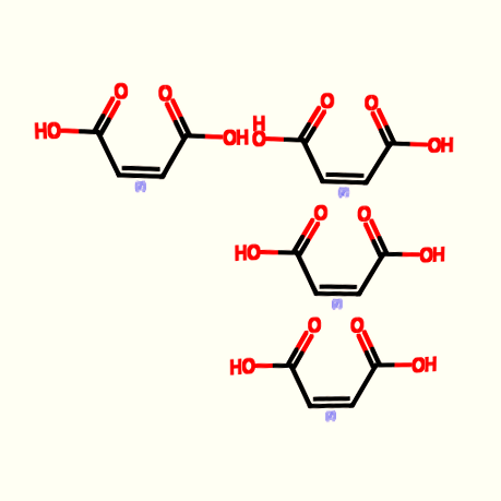 O=C(O)/C=C\C(=O)O.O=C(O)/C=C\C(=O)O.O=C(O)/C=C\C(=O)O.O=C(O)/C=C\C(=O)O